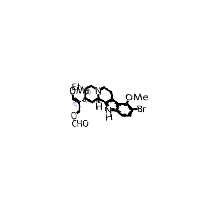 CC[C@@H]1CN2CCc3c([nH]c4ccc(Br)c(OC)c34)[C@@H]2C[C@@H]1/C(=C\OC)COC=O